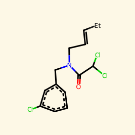 CCC=CCN(Cc1cccc(Cl)c1)C(=O)C(Cl)Cl